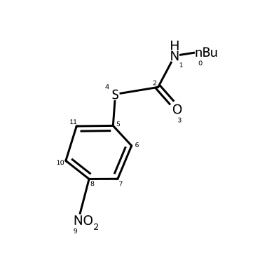 CCCCNC(=O)Sc1ccc([N+](=O)[O-])cc1